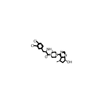 C[C@@H]1C[C@H](O)c2ncnc(N3CCN(C(=O)[C@H](N)Cc4ccc(Cl)c(Cl)c4)CC3)c21